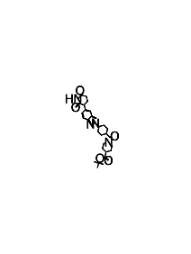 CC(C)(C)OC(=O)C1CCN(C(=O)C2CCC(n3cc4cc(C5CCC(=O)NC5=O)ccc4n3)CC2)CC1